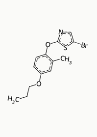 CCCOc1ccc(Oc2ncc(Br)s2)c(C)c1